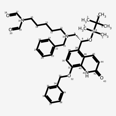 CC(C)(C)[Si](C)(C)O[C@@H](CN(CCCCCN(C=O)C=O)Cc1ccccc1)c1ccc(OCc2ccccc2)c2[nH]c(=O)ccc12